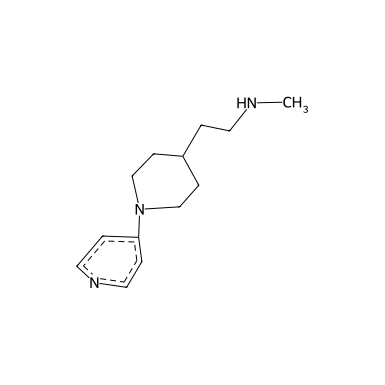 CNCCC1CCN(c2ccncc2)CC1